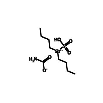 CCC[CH2][Sb+]([CH2]CCC)[S](=O)(=O)O.NC(=O)[O-]